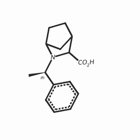 C[C@H](c1ccccc1)N1C2CCC(C2)C1C(=O)O